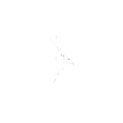 O=P(O)(O)C(O)(CCOCCOCCO)CCOCCOCCO